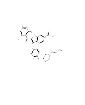 COC(=O)c1ccc2c(Oc3ccc(N[C@H]4CCN(CCCF)C4)cc3)c(C(=O)c3c(C)cc(F)cc3C)sc2c1